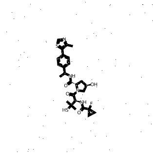 Cc1ncsc1-c1ccc(C(C)NC(=O)[C@@H]2C[C@@H](O)CN2C(=O)[C@@H](NC(=O)C2(F)CC2)C(C)(C)S)cc1